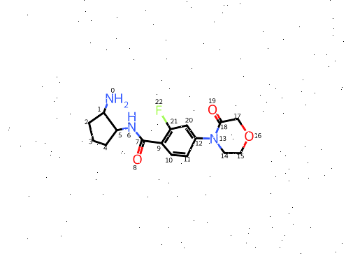 NC1CCCC1NC(=O)c1ccc(N2CCOCC2=O)cc1F